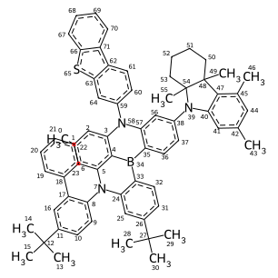 Cc1cc2c3c(c1)N(c1ccc(C(C)(C)C)cc1-c1ccccc1)c1cc(C(C)(C)C)ccc1B3c1ccc(N3c4cc(C)cc(C)c4C4(C)CCCCC34C)cc1N2c1ccc2c(c1)sc1ccccc12